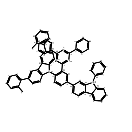 Cc1ccccc1-c1ccc2c(c1)c1cc(-c3ccccc3C)ccc1n2-c1ccc(-c2ccc3c4ccccc4n(-c4ccccc4)c3c2)cc1-c1nc(-c2ccccc2)nc(-c2ccccc2)n1